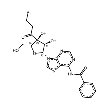 CC(=O)CCC(=O)[C@@]1(O)[C@@H](CO)O[C@@H](n2cnc3c(NC(=O)c4ccccc4)ncnc32)[C@@H]1O